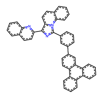 c1cc(-c2ccc3c4ccccc4c4ccccc4c3c2)cc(-c2nc(-c3ccc4ccccc4n3)c3ccc4ccccc4n23)c1